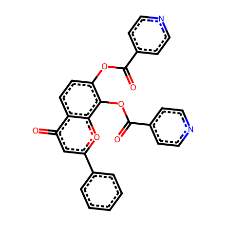 O=C(Oc1ccc2c(=O)cc(-c3ccccc3)oc2c1OC(=O)c1ccncc1)c1ccncc1